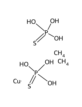 C.C.OP(O)(O)=S.OP(O)(O)=S.[Cu]